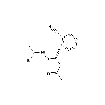 CC(=O)CC(=O)ONC(C)Br.N#Cc1ccccc1